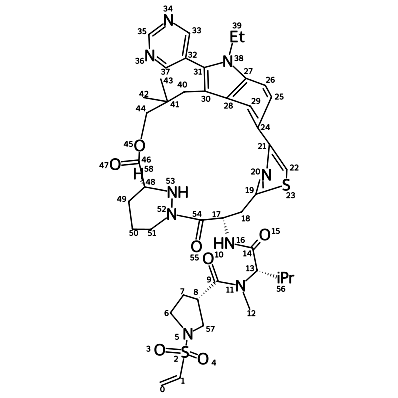 C=CS(=O)(=O)N1CC[C@H](C(=O)N(C)[C@H](C(=O)N[C@H]2Cc3nc(cs3)-c3ccc4c(c3)c(c(-c3cncnc3)n4CC)CC(C)(C)COC(=O)[C@@H]3CCCN(N3)C2=O)C(C)C)C1